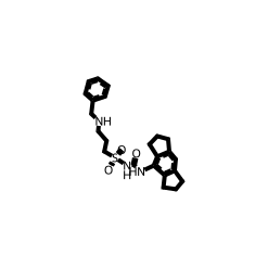 O=C(Nc1c2c(cc3c1CCC3)CCC2)NS(=O)(=O)CCCNCc1ccccc1